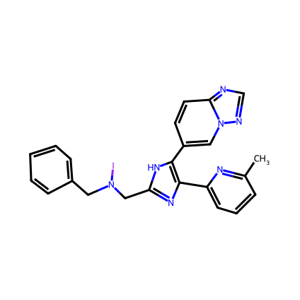 Cc1cccc(-c2nc(CN(I)Cc3ccccc3)[nH]c2-c2ccc3ncnn3c2)n1